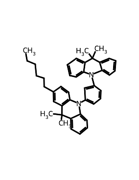 CCCCCCc1ccc2c(c1)C(C)(C)c1ccccc1N2c1cccc(N2c3ccccc3C(C)(C)c3ccccc32)c1